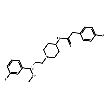 CN[C@@H](CCN1CCC(NC(=O)Cc2ccc(F)cc2)CC1)c1cccc(F)c1